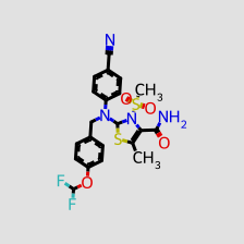 CC1=C(C(N)=O)N(S(C)(=O)=O)C(N(Cc2ccc(OC(F)F)cc2)c2ccc(C#N)cc2)S1